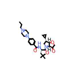 CCCN1CCN(c2ccc(C(=O)N[C@@H](CC(C)(C)C)C(=O)N3C[C@H](C4CC4)[C@H]4OCC(=O)[C@H]43)cc2)CC1